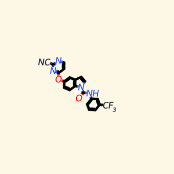 N#Cc1nccc(Oc2ccc3c(ccn3C(=O)Nc3cccc(C(F)(F)F)c3)c2)n1